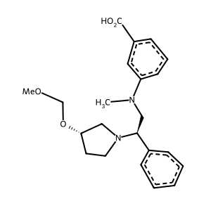 COCO[C@H]1CCN([C@@H](CN(C)c2cccc(C(=O)O)c2)c2ccccc2)C1